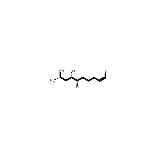 CC/C=C\CCC[C@@H](Cl)[C@@H](O)C[C@H](C)O